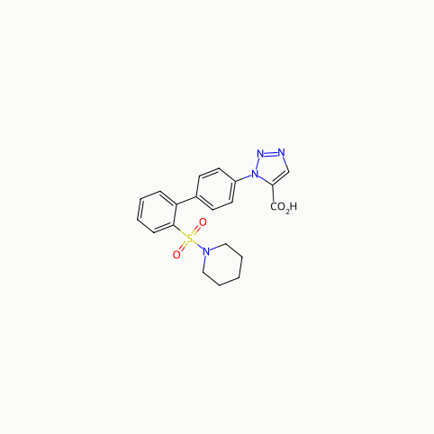 O=C(O)c1cnnn1-c1ccc(-c2ccccc2S(=O)(=O)N2CCCCC2)cc1